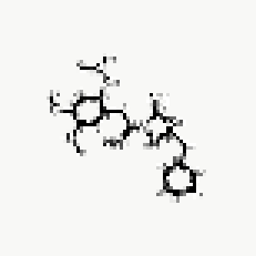 COc1cc(CC(=N)n2nc(Cc3ccccc3)sc2=N)c(SN(C)C)cc1OC